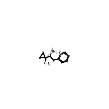 CC1([C@@H](N)Cc2ccccn2)CC1